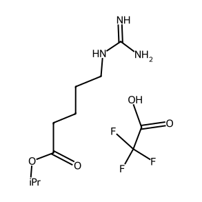 CC(C)OC(=O)CCCCNC(=N)N.O=C(O)C(F)(F)F